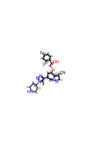 Cc1c(-c2cc(OCC(O)c3ccc(F)cc3F)c3c(C#N)cnn3c2)nnn1C1CCNCC1